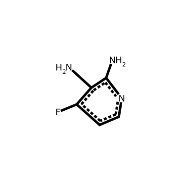 Nc1nccc(F)c1N